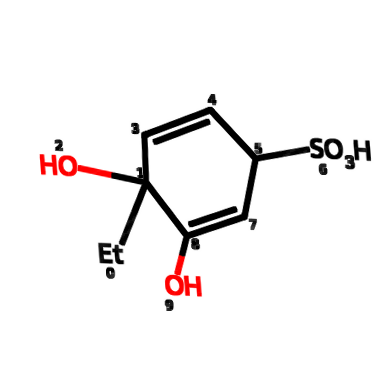 CCC1(O)C=CC(S(=O)(=O)O)C=C1O